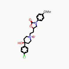 COc1ccc(N2CC(CC[N+]3([O-])CCC(O)(c4ccc(Cl)cc4)CC3)OC2=O)cc1